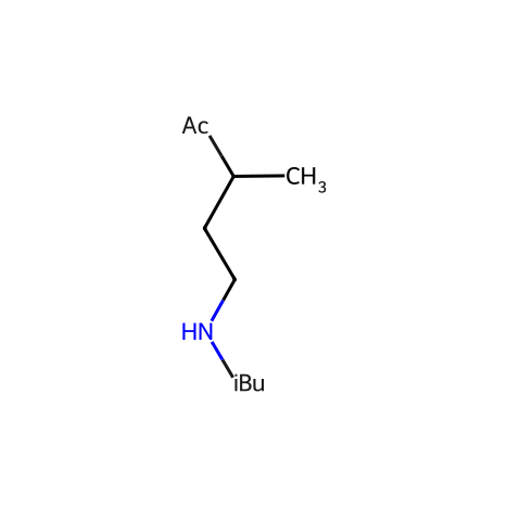 CCC(C)NCCC(C)C(C)=O